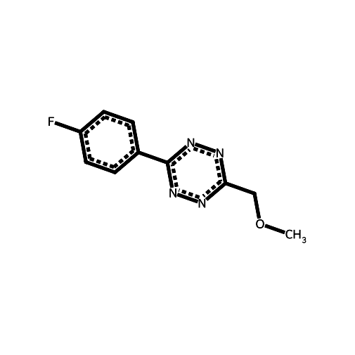 COCc1nnc(-c2ccc(F)cc2)nn1